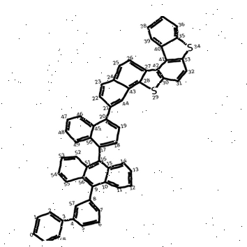 c1ccc(-c2cccc(-c3c4ccccc4c(-c4ccc(-c5ccc6ccc7c(sc8ccc9sc%10ccccc%10c9c87)c6c5)c5ccccc45)c4ccccc34)c2)cc1